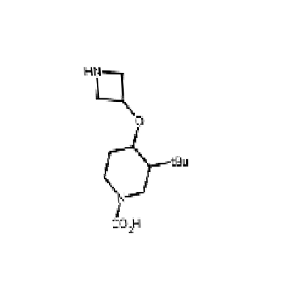 CC(C)(C)C1CN(C(=O)O)CCC1OC1CNC1